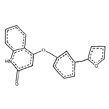 O=c1cc(Oc2cccc(-c3ccco3)c2)c2ccccc2[nH]1